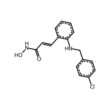 O=C(C=Cc1ccccc1NCc1ccc(Cl)cc1)NO